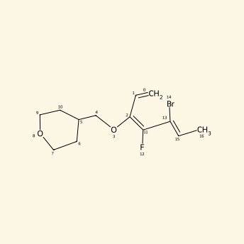 C=C/C(OCC1CCOCC1)=C(F)\C(Br)=C\C